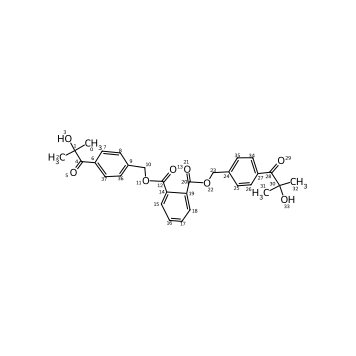 CC(C)(O)C(=O)c1ccc(COC(=O)c2ccccc2C(=O)OCc2ccc(C(=O)C(C)(C)O)cc2)cc1